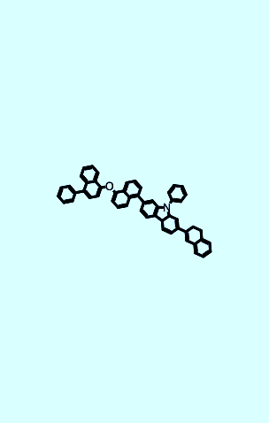 C1=CC2c3ccc(-c4cccc5c(Oc6ccc(-c7ccccc7)c7ccccc67)cccc45)cc3N(c3ccccc3)C2C=C1C1=Cc2ccccc2CC1